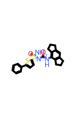 NS(=O)(=NC(=O)Nc1c2c(cc3c1CCC3)CCC2)c1ccc(-c2ccccc2)s1